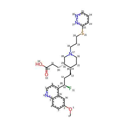 COc1ccc2nccc([C@H](F)CC[C@@H]3CCN(CCCSc4cccnn4)C[C@H]3CCC(=O)O)c2c1